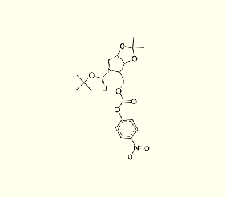 CC(C)(C)OC(=O)N1CC2OC(C)(C)OC2C1COC(=O)Oc1ccc([N+](=O)[O-])cc1